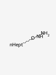 CCCCCCCCCCCCCOCCNCCN